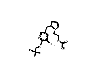 CC(=O)NCCN1C=CCN1Cc1cnc(OCC(F)(F)F)c(C)c1